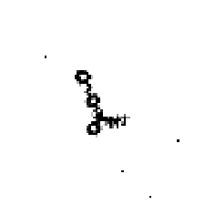 [N-]=[N+]=NCC(OCc1ccc(CCc2ccccc2)cc1)c1ccccc1